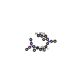 CC1(C)C2=C(C=CCC2c2ccc(-c3ccc(N(c4ccc(-c5ccccc5)cc4)c4ccc(-c5cccc(-c6ccc7c(c6)C(C)(C)c6ccccc6-7)c5)c(-c5ccccc5)c4)cc3)cc2)c2ccc(-c3ccc(-c4ccc(N(c5ccc(-c6ccccc6)cc5)c5ccc(-c6ccccc6)cc5)cc4-c4ccccc4)cc3)cc21